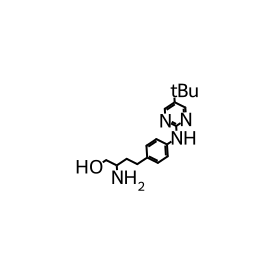 CC(C)(C)c1cnc(Nc2ccc(CCC(N)CO)cc2)nc1